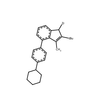 CC1=C(C(C)(C)C)[CH]([Zr])c2cccc(-c3ccc(C4CCCCC4)cc3)c21